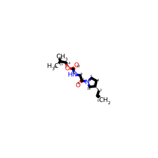 C=CC[C@H]1CCN(C(=O)CNC(=O)OCC(C)C)C1